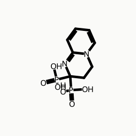 O=P(O)(O)C1(P(=O)(O)O)CCN2C=CC=CC2=N1